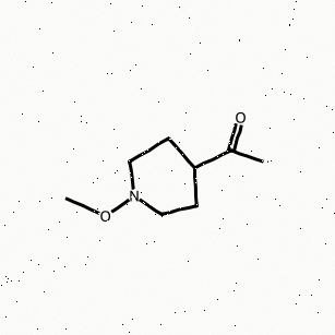 [CH2]C(=O)C1CCN(OC)CC1